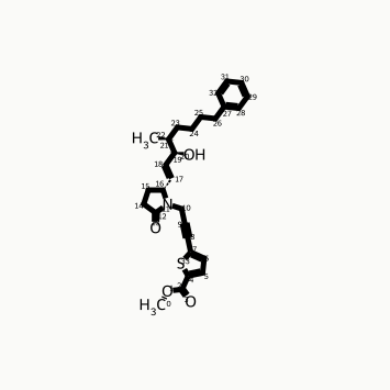 COC(=O)c1ccc(C#CCN2C(=O)CC[C@@H]2C=C[C@H](O)[C@@H](C)CCCCc2ccccc2)s1